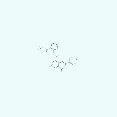 Cc1cc(C(C)Nc2ccccc2C(=O)OC(C)(C)C)c2cc(C3=CCC(C)(C)CC3)n(C)c(=O)c2c1